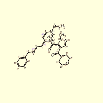 C=NN(C)\C=C/C(=C\C=N\Cc1ccccc1)NC(=O)c1c(C(=O)N2CCOCC2)cnn1C